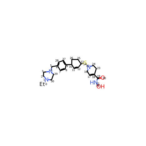 CCN1CCN(Cc2ccc(C3C=CC(SN4CC=C(C(=O)NO)CC4)CC3)cc2)CC1